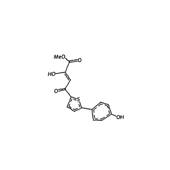 COC(=O)C(O)=CC(=O)c1ccc(-c2ccc(O)cc2)s1